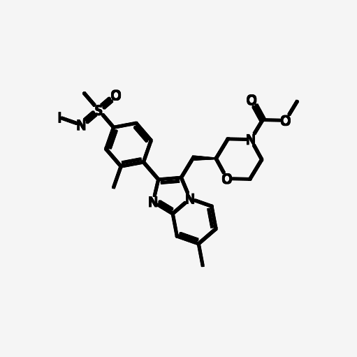 COC(=O)N1CCO[C@@H](Cc2c(-c3ccc(S(C)(=O)=NI)cc3C)nc3cc(C)ccn23)C1